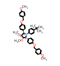 COc1ccc(COc2ccc([C@@H]3[C@H](OC)[C@@H](OC)[C@@H](c4ccc(OCc5ccc(OC)cc5)cc4)N3c3ccc(C(C)(C)C)cc3)cc2)cc1